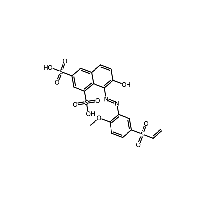 C=CS(=O)(=O)c1ccc(OC)c(/N=N/c2c(O)ccc3cc(S(=O)(=O)O)cc(S(=O)(=O)O)c23)c1